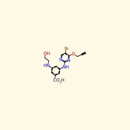 C#CCOc1nc(Nc2cc(NCCO)cc(C(=O)O)c2)ncc1Br